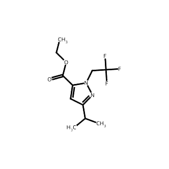 CCOC(=O)c1cc(C(C)C)nn1CC(F)(F)F